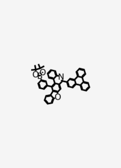 CC1(C)OB(c2cccc(-c3c4c(cc5c(-c6ccc7c8ccccc8c8ccccc8c7c6)nc6ccccc6c35)oc3ccccc34)c2)OC1(C)C